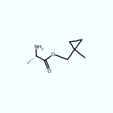 C[C@H](N)C(=O)OCC1(C)CC1